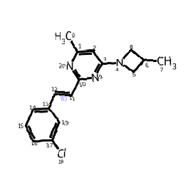 Cc1cc(N2CC(C)C2)nc(/C=C/c2cccc(Cl)c2)n1